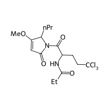 CCCC1C(OC)=CC(=O)N1C(=O)C(CCC(Cl)(Cl)Cl)NC(=O)CC